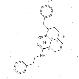 O=C(NCCc1ccccc1)[C@@H]1CC=C[C@@H]2CCN(Cc3ccccc3)C(=O)[C@@H]21